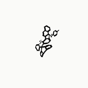 Cc1ccc(-n2c3ccc4c(c3c3ccc5ccccc5c32)Sc2ccccc2C42c3ccccc3-c3ccccc32)cc1